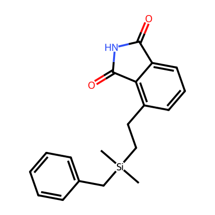 C[Si](C)(CCc1cccc2c1C(=O)NC2=O)Cc1ccccc1